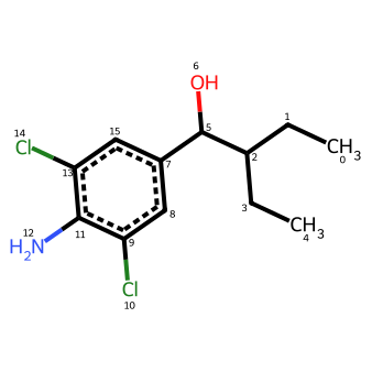 CCC(CC)C(O)c1cc(Cl)c(N)c(Cl)c1